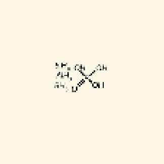 B.O=P(O)(O)O.[AlH3].[SiH4]